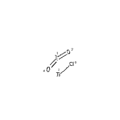 [Cl][Ti].[O]=[Ti]=[O]